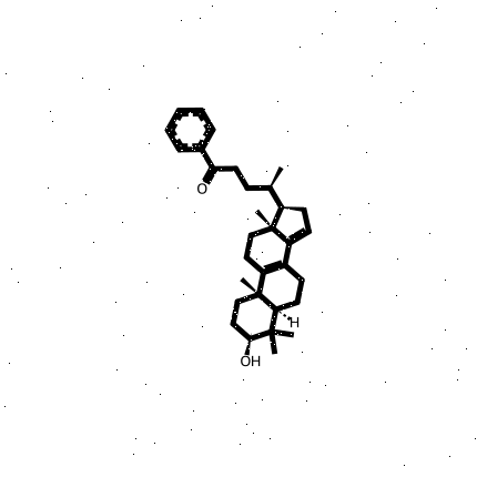 C[C@H](CCC(=O)c1ccccc1)[C@H]1CC=C2C3=C(CC[C@@]21C)[C@@]1(C)CC[C@H](O)C(C)(C)[C@@H]1CC3